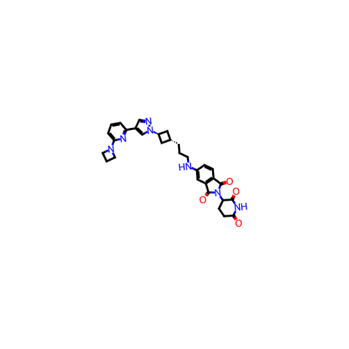 O=C1CCC(N2C(=O)c3ccc(NCCC[C@H]4C[C@H](n5cc(-c6cccc(N7CCC7)n6)cn5)C4)cc3C2=O)C(=O)N1